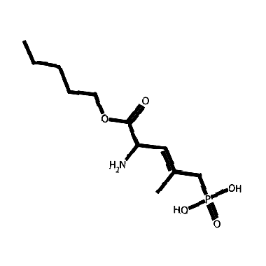 CCCCCOC(=O)C(N)/C=C(\C)CP(=O)(O)O